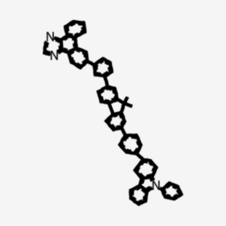 CC1(C)c2cc(-c3ccc(-c4ccc5c(c4)c4ccccc4n5-c4ccccc4)cc3)ccc2-c2ccc(-c3cccc(-c4ccc5c(c4)c4ccccc4c4nccnc54)c3)cc21